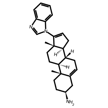 C[C@]12CC[C@H](N)CC1=CC[C@@H]1[C@@H]2CC[C@]2(C)C(n3cnc4ccccc43)=CC[C@@H]12